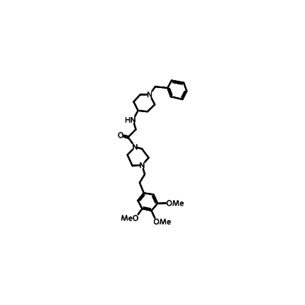 COc1cc(CCN2CCN(C(=O)CNC3CCN(Cc4ccccc4)CC3)CC2)cc(OC)c1OC